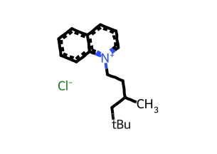 CC(CC[n+]1cccc2ccccc21)CC(C)(C)C.[Cl-]